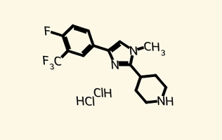 Cl.Cl.Cn1cc(-c2ccc(F)c(C(F)(F)F)c2)nc1C1CCNCC1